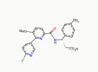 COc1ccc(C(=O)N[C@@H](CC(=O)O)c2ccc(C)cc2)nc1-c1ccc(F)nc1